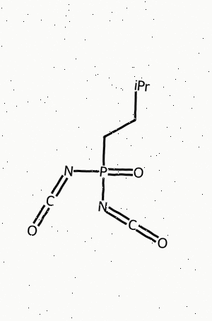 CC(C)CCP(=O)(N=C=O)N=C=O